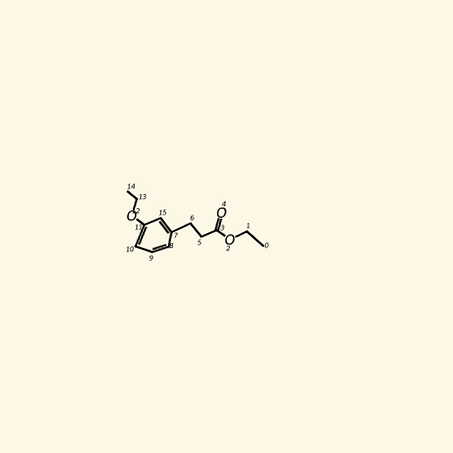 CCOC(=O)CCc1cccc(OCC)c1